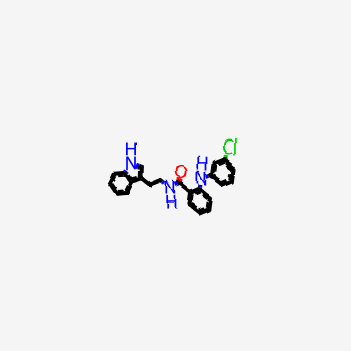 O=C(NCCc1c[nH]c2ccccc12)c1ccccc1Nc1cccc(Cl)c1